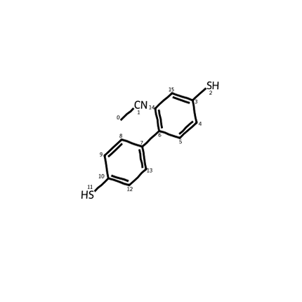 CC#N.Sc1ccc(-c2ccc(S)cc2)cc1